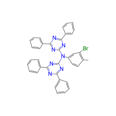 Cc1ccc(N(c2nc(-c3ccccc3)nc(-c3ccccc3)n2)c2nc(-c3ccccc3)nc(-c3ccccc3)n2)cc1Br